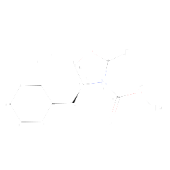 CCC1O[C@@H](C=O)[C@H](CC2CCCCC2)N1C(=O)OC(C)(C)C